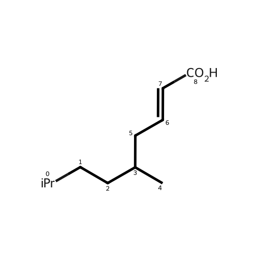 CC(C)CCC(C)CC=CC(=O)O